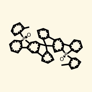 Cc1ccccc1P1(=O)c2ccccc2-c2cc3c(cc21)C1(c2ccccc2-3)c2ccccc2-c2cc3c(cc21)P(=O)(c1ccccc1C)c1ccccc1-3